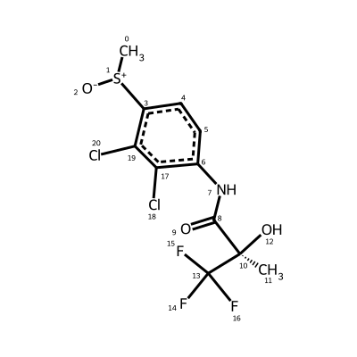 C[S+]([O-])c1ccc(NC(=O)[C@@](C)(O)C(F)(F)F)c(Cl)c1Cl